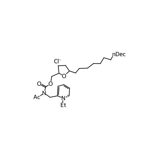 CCCCCCCCCCCCCCCCCC1CCC(COC(=O)N(Cc2cccc[n+]2CC)C(C)=O)O1.[Cl-]